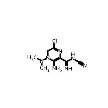 CN(C)N1CC(Cl)=NC(C(=N)NC#N)=C1N